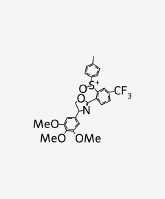 COc1cc(C2COC(c3ccc(C(F)(F)F)cc3[S@@+]([O-])c3ccc(C)cc3)=N2)cc(OC)c1OC